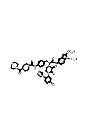 O=C(O)c1cc2cc(NC(=O)[C@H](Cc3ccc(NC(=O)N4CCC(C(=O)N5CCOCC5)CC4)cc3)N3CCN(c4cc(Cl)ccc4-n4cnnn4)C(=O)C3=O)ccc2n1C(=O)O